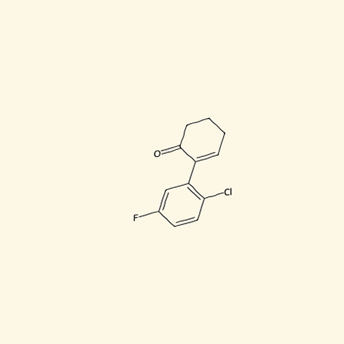 O=C1CCCC=C1c1cc(F)ccc1Cl